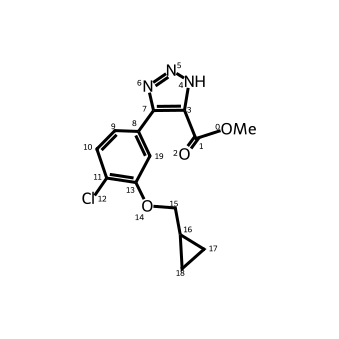 COC(=O)c1[nH]nnc1-c1ccc(Cl)c(OCC2CC2)c1